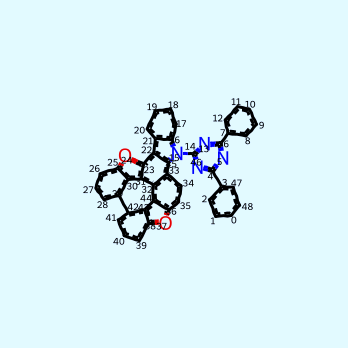 c1ccc(-c2nc(-c3ccccc3)nc(-n3c4ccccc4c4c5oc6cccc7c6c5c5c(ccc6oc8cccc-7c8c65)c43)n2)cc1